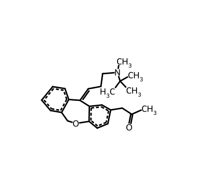 CC(=O)Cc1ccc2c(c1)/C(=C\CCN(C)C(C)(C)C)c1ccccc1CO2